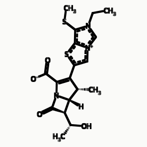 CCn1c[n+]2cc(C3=C(C(=O)[O-])N4C(=O)[C@H]([C@@H](C)O)[C@H]4[C@H]3C)sc2c1SC